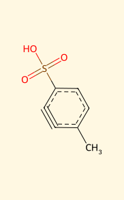 Cc1c#cc(S(=O)(=O)O)cc1